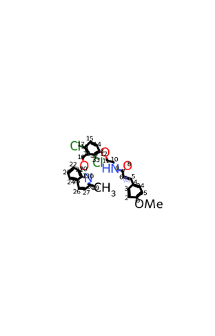 COc1ccc(/C=C/C(=O)NCCOc2ccc(Cl)c(COc3cccc4ccc(C)nc34)c2Cl)cc1